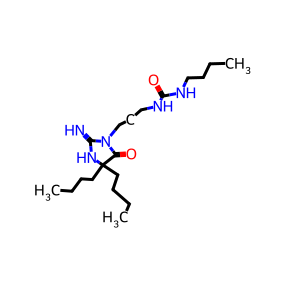 CCCCNC(=O)NCCCN1C(=N)NC(CCCC)(CCCC)C1=O